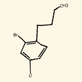 O=CCC[CH]c1ccc(Cl)cc1Br